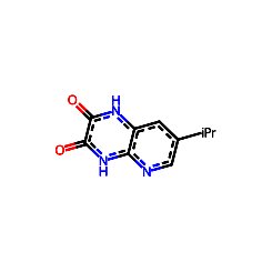 CC(C)c1cnc2[nH]c(=O)c(=O)[nH]c2c1